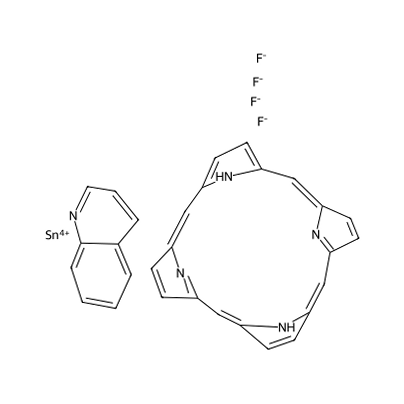 C1=Cc2cc3ccc(cc4nc(cc5ccc(cc1n2)[nH]5)C=C4)[nH]3.[F-].[F-].[F-].[F-].[Sn+4].c1ccc2ncccc2c1